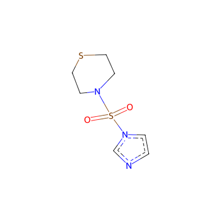 O=S(=O)(N1CCSCC1)n1ccnc1